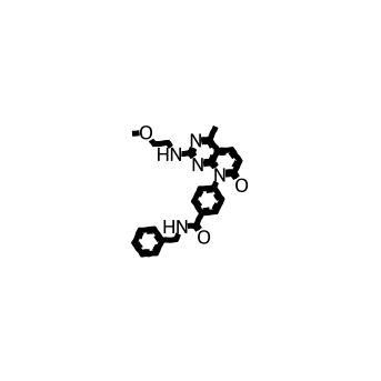 COCCNc1nc(C)c2ccc(=O)n(-c3ccc(C(=O)NCc4ccccc4)cc3)c2n1